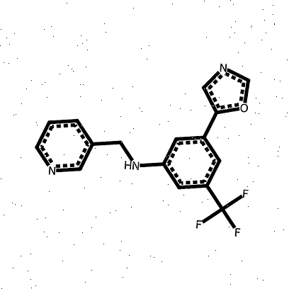 FC(F)(F)c1cc(NCc2cccnc2)cc(-c2cnco2)c1